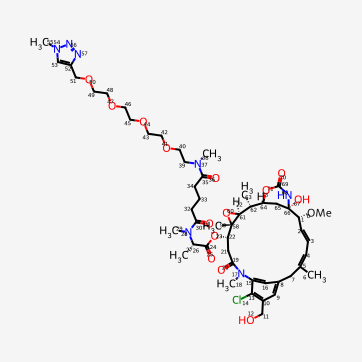 CO[C@@H]1/C=C/C=C(/C)Cc2cc(CO)c(Cl)c(c2)N(C)C(=O)C[C@H](OC(=O)[C@H](C)N(C)C(=O)CCCC(=O)N(C)CCOCCOCCOCCOCc2cn(C)nn2)[C@]2(C)O[C@H]2[C@H](C)[C@@H]2C[C@@]1(O)NC(=O)O2